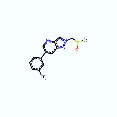 CC[S+]([O-])Cn1cc2ncc(-c3cccc(C(F)(F)F)c3)cc2n1